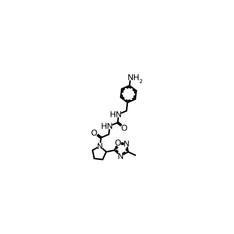 Cc1noc(C2CCCN2C(=O)CNC(=O)NCc2ccc(N)cc2)n1